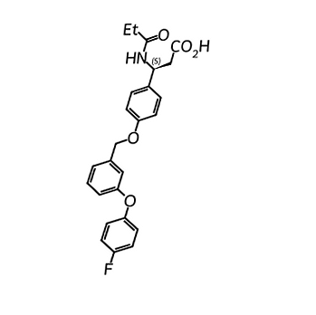 CCC(=O)N[C@@H](CC(=O)O)c1ccc(OCc2cccc(Oc3ccc(F)cc3)c2)cc1